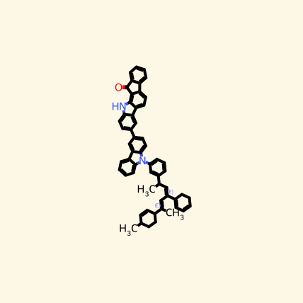 C/C(=C\C(=C/C(C)c1cccc(-n2c3ccccc3c3cc(-c4ccc5[nH]c6c7c(ccc6c5c4)-c4ccccc4C7=O)ccc32)c1)C1=CC=CCC1)C1C=CC(C)CC1